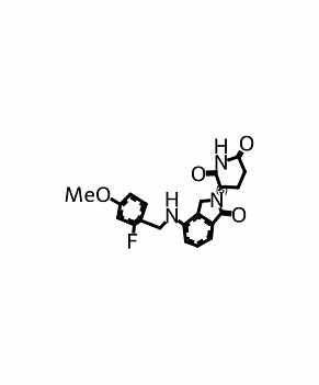 COc1ccc(CNc2cccc3c2CN([C@H]2CCC(=O)NC2=O)C3=O)c(F)c1